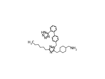 CCCCCCc1nc(CC2CCC(CN)CC2)n(Cc2ccc(-c3ccccc3-c3nnn[nH]3)cc2)n1